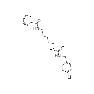 O=C(NCCCCCNC(=O)c1cccnc1)NCc1ccc(Cl)cc1